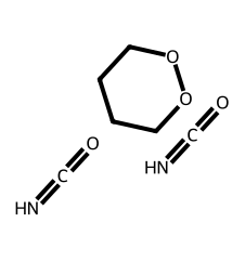 C1CCOOC1.N=C=O.N=C=O